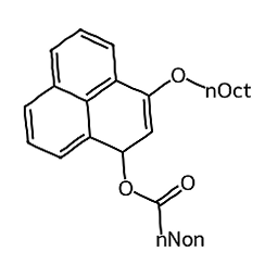 CCCCCCCCCC(=O)OC1C=C(OCCCCCCCC)c2cccc3cccc1c23